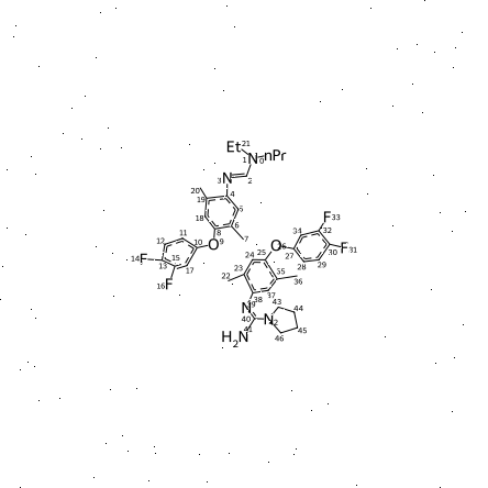 CCCN(C=Nc1cc(C)c(Oc2ccc(F)c(F)c2)cc1C)CC.Cc1cc(Oc2ccc(F)c(F)c2)c(C)cc1N=C(N)N1CCCC1